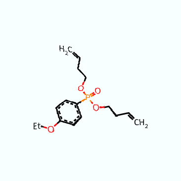 C=CCCOP(=O)(OCCC=C)c1ccc(OCC)cc1